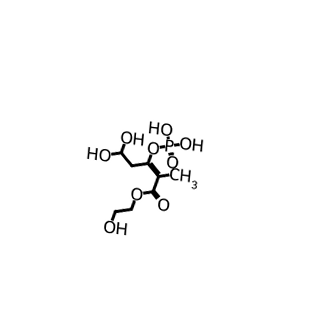 CC(C(=O)OCCO)=C(CC(O)O)OP(=O)(O)O